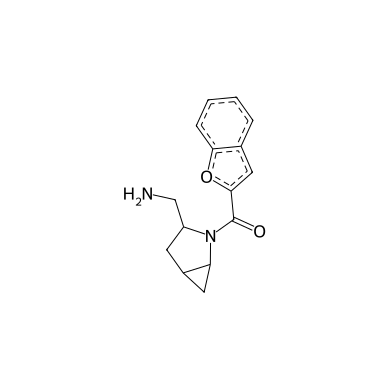 NCC1CC2CC2N1C(=O)c1cc2ccccc2o1